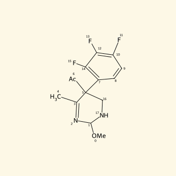 COC1N=C(C)C(C(C)=O)(c2ccc(F)c(F)c2F)CN1